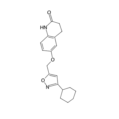 O=C1CCc2cc(OCc3cc(C4CCCCC4)no3)ccc2N1